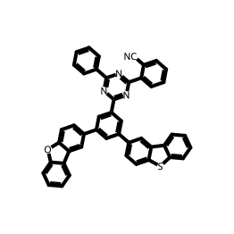 N#Cc1ccccc1-c1nc(-c2ccccc2)nc(-c2cc(-c3ccc4oc5ccccc5c4c3)cc(-c3ccc4sc5ccccc5c4c3)c2)n1